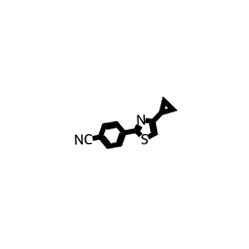 N#Cc1ccc(-c2nc(C3CC3)cs2)cc1